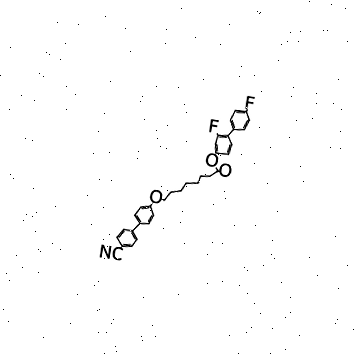 N#Cc1ccc(-c2ccc(OCCCCCCCC(=O)Oc3ccc(-c4ccc(F)cc4)c(F)c3)cc2)cc1